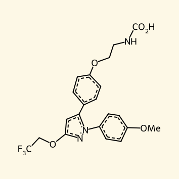 COc1ccc(-n2nc(OCC(F)(F)F)cc2-c2ccc(OCCNC(=O)O)cc2)cc1